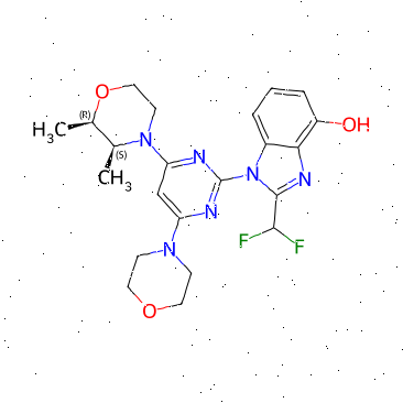 C[C@H]1OCCN(c2cc(N3CCOCC3)nc(-n3c(C(F)F)nc4c(O)cccc43)n2)[C@H]1C